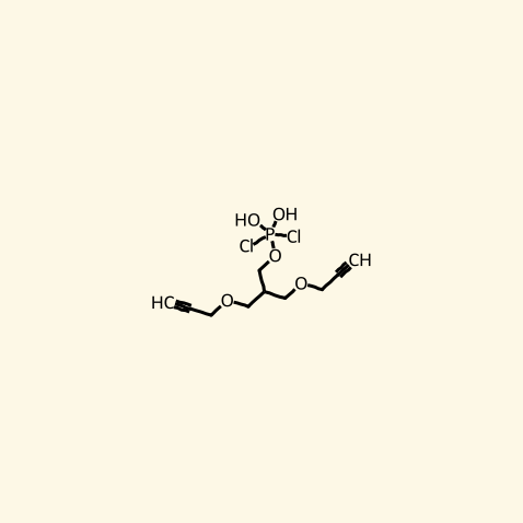 C#CCOCC(COCC#C)COP(O)(O)(Cl)Cl